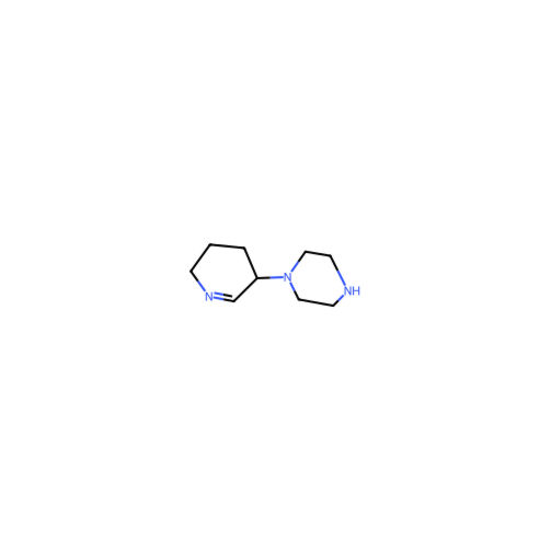 C1=NCCCC1N1CCNCC1